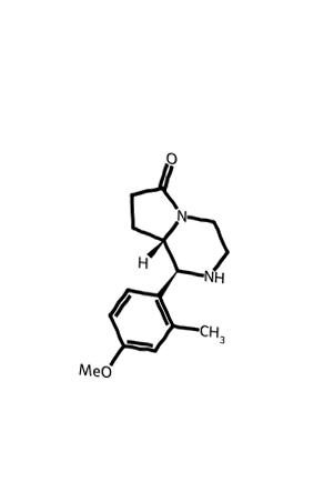 COc1ccc([C@@H]2NCCN3C(=O)CC[C@@H]23)c(C)c1